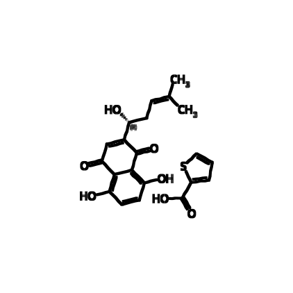 CC(C)=CC[C@@H](O)C1=CC(=O)c2c(O)ccc(O)c2C1=O.O=C(O)c1cccs1